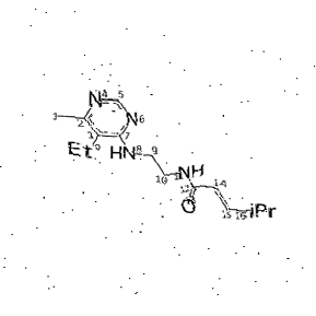 CCc1c(C)ncnc1NCCNC(=O)/C=C/C(C)C